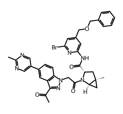 CC(=O)c1nn(CC(=O)N2[C@H](C(=O)Nc3cc(COCc4ccccc4)cc(Br)n3)C[C@@]3(C)C[C@@H]23)c2ccc(-c3cnc(C)nc3)cc12